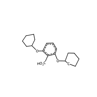 O=C(O)c1c(OC2CCCCC2)cccc1OC1CCCCC1